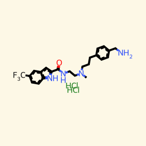 CN(CCCc1ccc(CN)cc1)CCNC(=O)c1cc2cc(C(F)(F)F)ccc2[nH]1.Cl.Cl